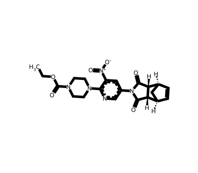 CCOC(=O)N1CCN(c2ncc(N3C(=O)[C@@H]4[C@H](C3=O)[C@H]3C=C[C@@H]4C3)cc2[N+](=O)[O-])CC1